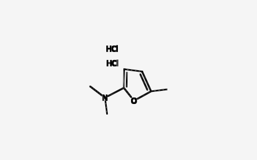 Cc1ccc(N(C)C)o1.Cl.Cl